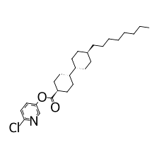 CCCCCCCC[C@H]1CC[C@H]([C@H]2CC[C@H](C(=O)Oc3ccc(Cl)nc3)CC2)CC1